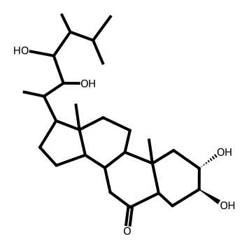 CC(C)C(C)C(O)C(O)C(C)C1CCC2C3CC(=O)C4C[C@H](O)[C@@H](O)CC4(C)C3CCC12C